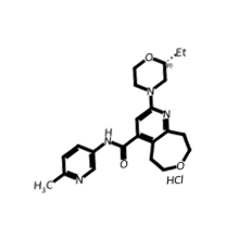 CC[C@@H]1CN(c2cc(C(=O)Nc3ccc(C)nc3)c3c(n2)CCOCC3)CCO1.Cl